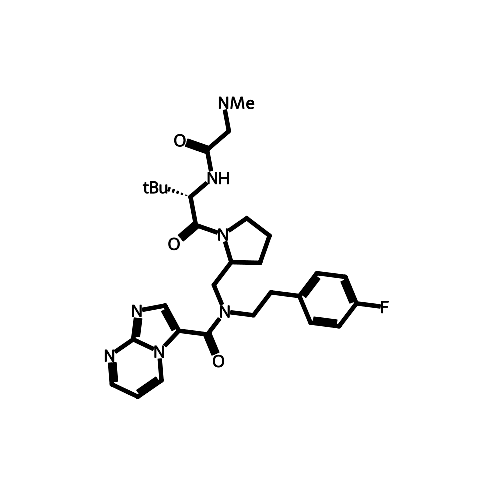 CNCC(=O)N[C@H](C(=O)N1CCCC1CN(CCc1ccc(F)cc1)C(=O)c1cnc2ncccn12)C(C)(C)C